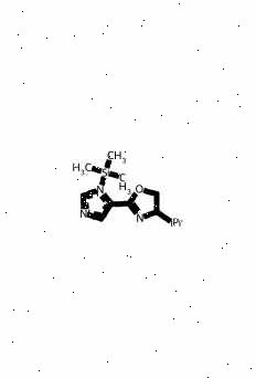 CC(C)C1COC(c2cncn2[Si](C)(C)C)=N1